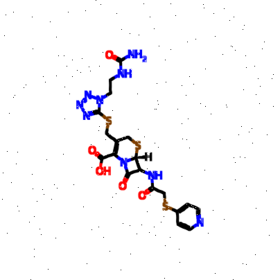 NC(=O)NCCn1nnnc1SCC1=C(C(=O)O)N2C(=O)C(NC(=O)CSc3ccncc3)[C@H]2SC1